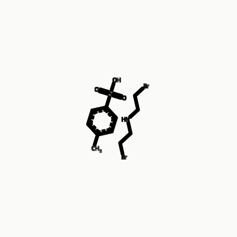 BrCCNCCBr.Cc1ccc(S(=O)(=O)O)cc1